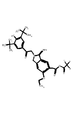 CCOc1cc2c(cc1C(=O)OC(=O)C(F)(F)F)C(=N)N(CC(=O)c1cc(C(C)(C)C)c(O)c(C(C)(C)C)c1)C2